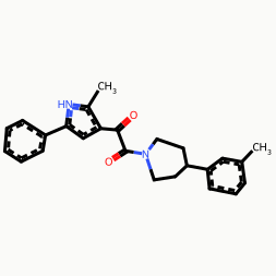 Cc1cccc(C2CCN(C(=O)C(=O)c3cc(-c4ccccc4)[nH]c3C)CC2)c1